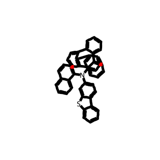 c1ccc2c(c1)-c1cccc3c1-c1cc(N(c4ccc5c(c4)sc4ccccc45)c4cccc5ccccc45)ccc1-c1cccc-3c1-2